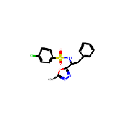 CCCCc1nnc(C(Cc2ccccc2)NS(=O)(=O)c2ccc(Cl)cc2)o1